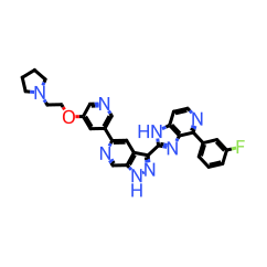 Fc1cccc(-c2nccc3[nH]c(-c4n[nH]c5cnc(-c6cncc(OCCN7CCCC7)c6)cc45)nc23)c1